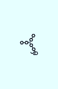 CCC1CC2CCCC(c3ccc(-c4ccc(N(c5ccc(-c6ccccc6)cc5)c5ccc(-c6ccccc6)cc5)cc4)cc3)(C1)C2